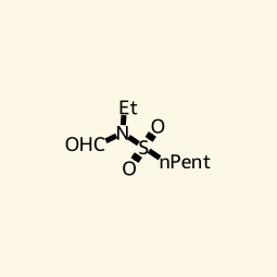 CCCCCS(=O)(=O)N(C=O)CC